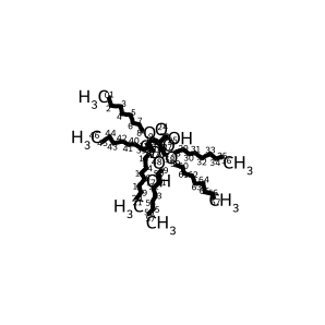 CCCCCCCCCOC(OCCCCC(O)CCCC)=C(C(=O)O)C(OCCCCCCCCC)(OCCCCCCCCC)C(OCCCCCCCCC)OCCCCCCCCC